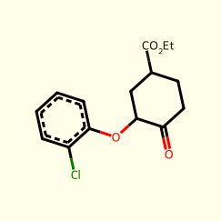 CCOC(=O)C1CCC(=O)C(Oc2ccccc2Cl)C1